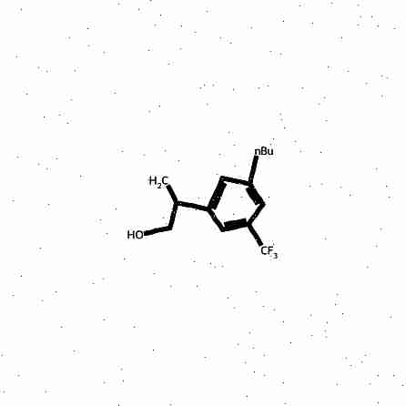 [CH2]C(CO)c1cc(CCCC)cc(C(F)(F)F)c1